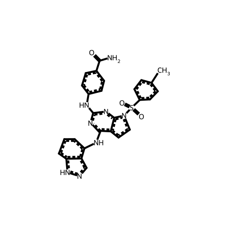 Cc1ccc(S(=O)(=O)n2ccc3c(Nc4cccc5[nH]ncc45)nc(Nc4ccc(C(N)=O)cc4)nc32)cc1